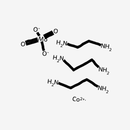 NCCN.NCCN.NCCN.[Co+2].[O]=[Mo](=[O])([O-])[O-]